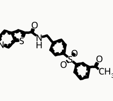 CC(=O)c1cccc(S(=O)(=O)c2ccc(CNC(=O)c3cc4ccncc4s3)cc2)c1